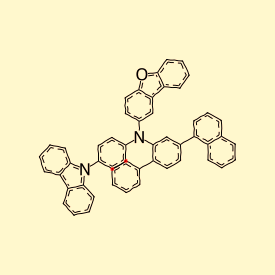 c1ccc(-c2ccc(-c3cccc4ccccc34)cc2N(c2ccc(-n3c4ccccc4c4ccccc43)cc2)c2ccc3oc4ccccc4c3c2)cc1